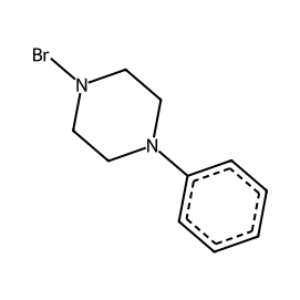 BrN1CCN(c2ccccc2)CC1